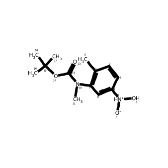 Cc1ccc([NH+]([O-])O)cc1N(C)C(=O)OC(C)(C)C